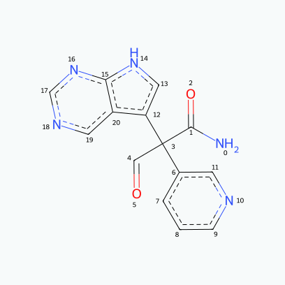 NC(=O)C(C=O)(c1cccnc1)c1c[nH]c2ncncc12